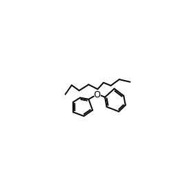 CCCCCCCCC.c1ccc(Oc2ccccc2)cc1